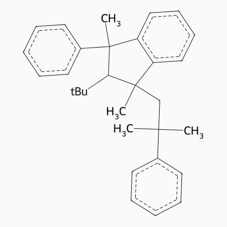 CC(C)(CC1(C)c2ccccc2C(C)(c2ccccc2)C1C(C)(C)C)c1ccccc1